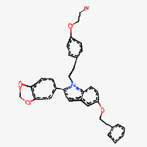 BrCCOc1ccc(CCn2c(-c3ccc4c(c3)OCO4)cc3cc(OCc4ccccc4)ccc32)cc1